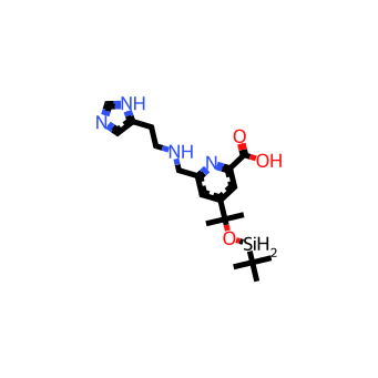 CC(C)(C)[SiH2]OC(C)(C)c1cc(CNCCc2cnc[nH]2)nc(C(=O)O)c1